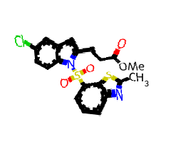 COC(=O)CCc1cc2cc(Cl)ccc2n1S(=O)(=O)c1cccc2nc(C)sc12